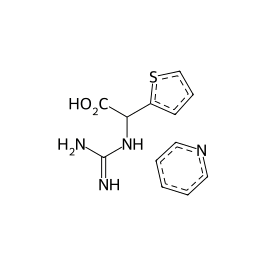 N=C(N)NC(C(=O)O)c1cccs1.c1ccncc1